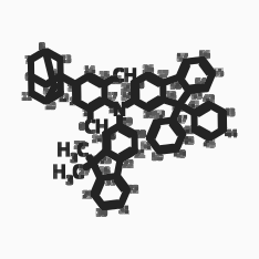 Cc1cc(C23CC4CC(CC(C4)C2)C3)cc(C)c1N(c1ccc2c(c1)C(C)(C)c1ccccc1-2)c1ccc2c(c1)C(c1ccccc1)(c1ccccc1)c1ccccc1-2